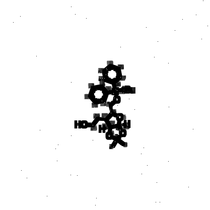 CC1(C)O[C@@H]2O[C@H](CO[Si](c3ccccc3)(c3ccccc3)C(C)(C)C)[C@H](CCO)[C@@H]2O1